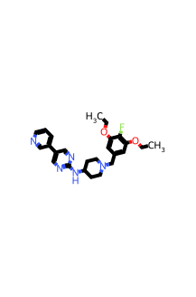 CCOc1cc(CN2CCC(Nc3ncc(-c4cccnc4)cn3)CC2)cc(OCC)c1F